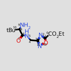 CCOC(=O)c1nc(CNC(=O)C(N)C(C)(C)C)no1